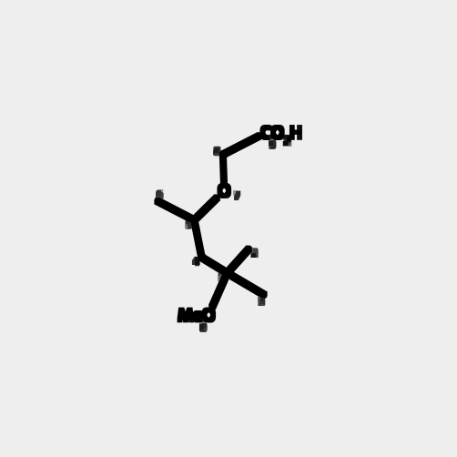 COC(C)(C)CC(C)OCC(=O)O